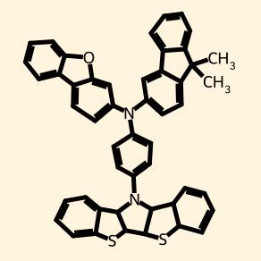 CC1(C)c2ccccc2-c2cc(N(c3ccc(N4C5c6ccccc6SC5C5SC6C=CC=CC6C54)cc3)c3ccc4c(c3)oc3ccccc34)ccc21